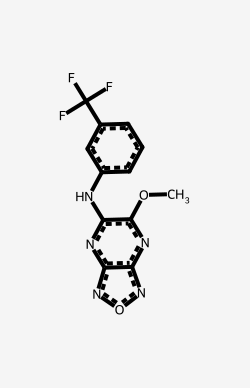 COc1nc2nonc2nc1Nc1cccc(C(F)(F)F)c1